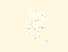 CSCO[C@@H]1[C@@]2(C(C)C)O[C@H]2[C@@H]2O[C@]23[C@]12O[C@H]2C[C@H]1C2=C(CC[C@@]13C)C(=O)OC2C(C)(C)O